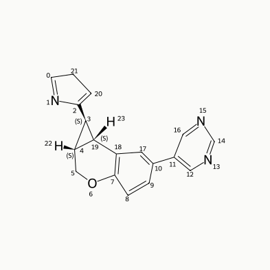 C1=NC([C@@H]2[C@H]3COc4ccc(-c5cncnc5)cc4[C@H]32)=CC1